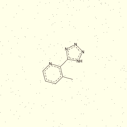 Cc1cccnc1-c1nnn[nH]1